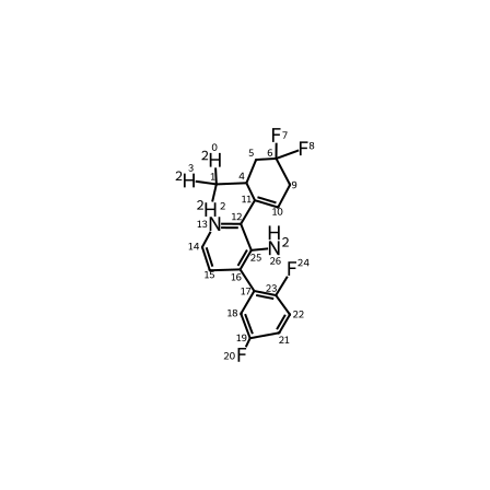 [2H]C([2H])([2H])C1CC(F)(F)CC=C1c1nccc(-c2cc(F)ccc2F)c1N